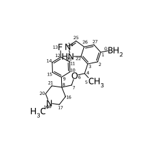 Bc1cc(C(C)OCC2(c3ccc(F)cc3)CCN(C)CC2)c2[nH]ncc2c1